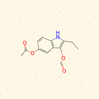 CCc1[nH]c2ccc(OC(C)=O)cc2c1OC=O